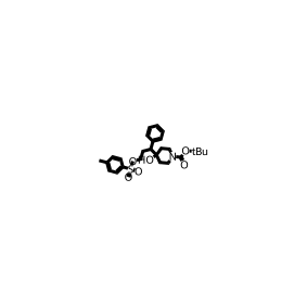 Cc1ccc(S(=O)(=O)OCCC(c2ccccc2)C2(O)CCN(C(=O)OC(C)(C)C)CC2)cc1